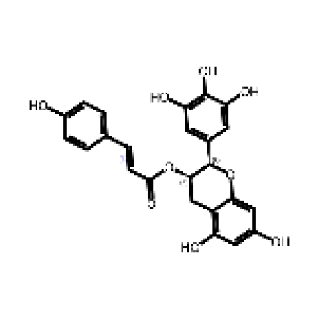 O=C(/C=C/c1ccc(O)cc1)O[C@@H]1Cc2c(O)cc(O)cc2O[C@@H]1c1cc(O)c(O)c(O)c1